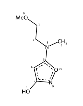 COCCN(C)c1cc(O)no1